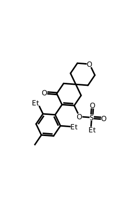 CCc1cc(C)cc(CC)c1C1=C(OS(=O)(=O)CC)CC2(CCOCC2)CC1=O